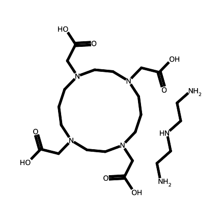 NCCNCCN.O=C(O)CN1CCCN(CC(=O)O)CCN(CC(=O)O)CCCN(CC(=O)O)CC1